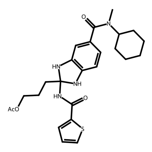 CC(=O)OCCCC1(NC(=O)c2cccs2)Nc2ccc(C(=O)N(C)C3CCCCC3)cc2N1